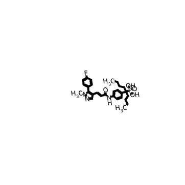 CCCCC(CCCC)(c1ccc(NC(=O)/C=C/c2cnn(C)c2-c2ccc(F)cc2)cc1)P(=O)(O)O